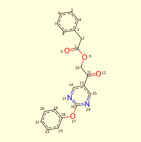 O=C(Cc1ccccc1)OCC(=O)c1cnc(Oc2ccccc2)nc1